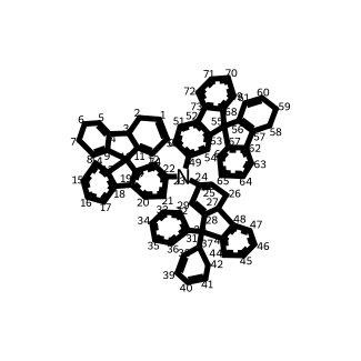 C1=CCC2C3=CCCC=C3C3(C2=C1)c1ccccc1-c1ccc(N(C2=CCC4C(=C2)C(c2ccccc2)(C2C=CC=CC2)c2ccccc24)c2ccc4c(c2)C2(C5=C(CCC=C5)c5ccccc52)c2ccccc2-4)cc13